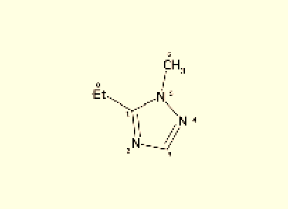 C[CH]c1ncnn1C